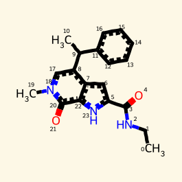 CCNC(=O)c1cc2c(C(C)c3ccccc3)cn(C)c(=O)c2[nH]1